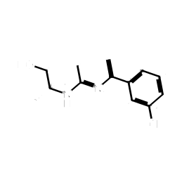 C=C(/N=C(\C)N[C@H](C)CO)c1cccc(Cl)c1